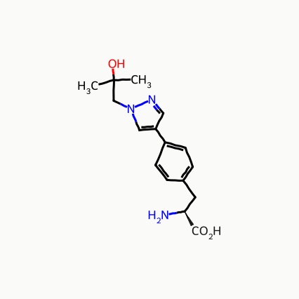 CC(C)(O)Cn1cc(-c2ccc(C[C@H](N)C(=O)O)cc2)cn1